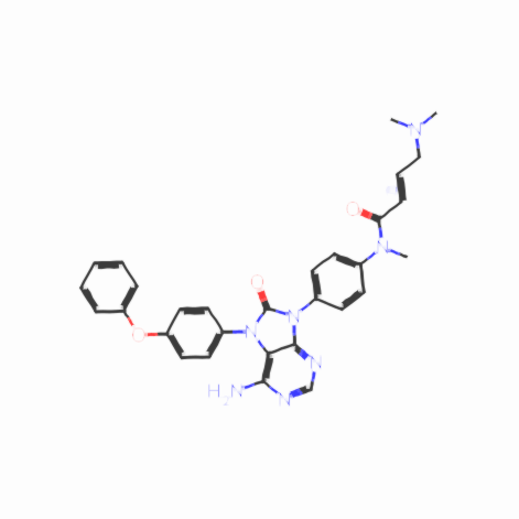 CN(C)C/C=C/C(=O)N(C)c1ccc(-n2c(=O)n(-c3ccc(Oc4ccccc4)cc3)c3c(N)ncnc32)cc1